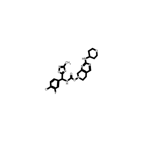 Cc1noc(C(NC(=O)ON2CCc3cnc(NC4CCOCC4)nc3C2)c2ccc(Cl)c(F)c2)n1